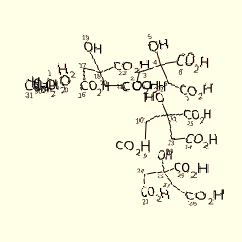 O.O.O=C(O)CC(O)(CC(=O)O)C(=O)O.O=C(O)CC(O)(CC(=O)O)C(=O)O.O=C(O)CC(O)(CC(=O)O)C(=O)O.O=C(O)CC(O)(CC(=O)O)C(=O)O.[CaH2].[CaH2]